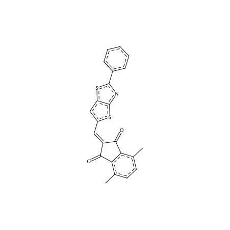 Cc1ccc(C)c2c1C(=O)C(=Cc1cc3sc(-c4ccccc4)nc3s1)C2=O